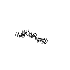 C[C@](N)(CO)CCc1ccc(C(=O)CCCc2ccc(-c3ccccc3)cc2)cc1